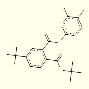 Cc1cnc(NC(=O)c2cc(C(F)(F)F)ccc2C(=O)OC(C)(C)C)nc1C